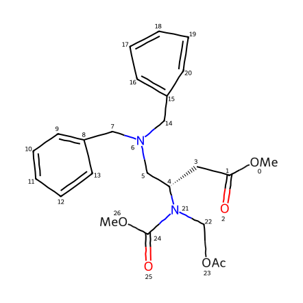 COC(=O)C[C@@H](CN(Cc1ccccc1)Cc1ccccc1)N(COC(C)=O)C(=O)OC